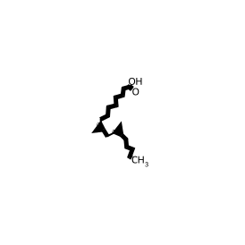 CCCCCC1C[C@@H]1CC1C[C@H]1CCCCCCCC(=O)O